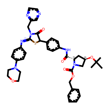 CC(C)(C)O[C@@H]1C[C@@H](C(=O)Nc2ccc(C3S/C(=N\c4ccc(N5CCOCC5)cc4)N(Cc4cnccn4)C3=O)cc2)N(C(=O)OCc2ccccc2)C1